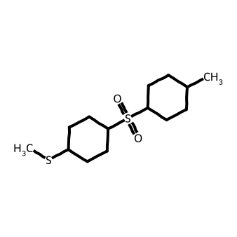 CSC1CCC(S(=O)(=O)C2CCC(C)CC2)CC1